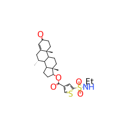 CCNS(=O)(=O)c1cc(C(=O)O[C@H]2CCC3C4C(CC[C@@]32C)[C@@]2(C)CCC(=O)C=C2C[C@H]4C)cs1